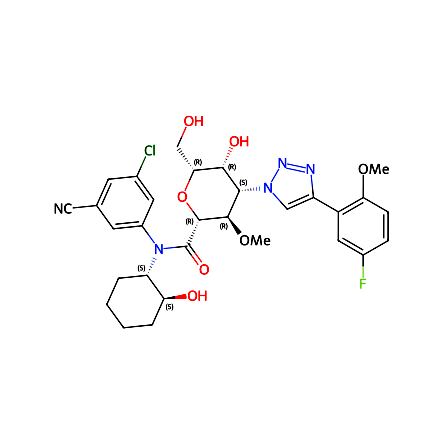 COc1ccc(F)cc1-c1cn([C@H]2[C@@H](O)[C@@H](CO)O[C@@H](C(=O)N(c3cc(Cl)cc(C#N)c3)[C@H]3CCCC[C@@H]3O)[C@@H]2OC)nn1